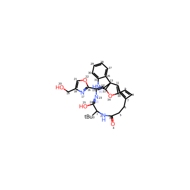 CC(C)(C)C1NC(=O)CCc2ccc3c(c2)C2(/C=C(c4nc(CO)co4)/N=C/1O)c1ccccc1NC2O3